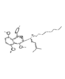 CCCCCCCCSC(CC=C(C)C)c1cc(OC)c2c(OC)ccc(OC)c2c1OC